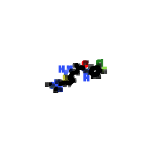 CC(CC(N)c1ccc(-c2ncn(C)n2)s1)C(=O)Nc1ccc(F)c(Cl)c1